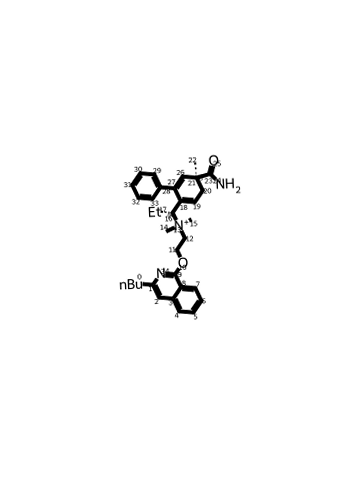 CCCCc1cc2ccccc2c(OCC[N+](C)(C)[C@H](CC)C2=CC[C@](C)(C(N)=O)C=C2c2ccccc2)n1